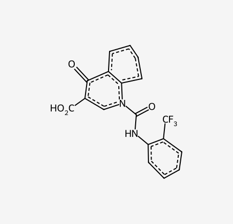 O=C(O)c1cn(C(=O)Nc2ccccc2C(F)(F)F)c2ccccc2c1=O